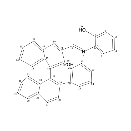 Oc1ccccc1N=Cc1cc2ccccc2c(-c2c(-c3ccccc3)ccc3ccccc23)c1O